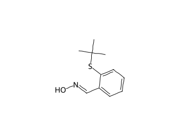 CC(C)(C)Sc1ccccc1/C=N/O